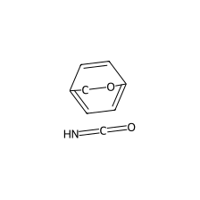 N=C=O.c1cc2ccc1CO2